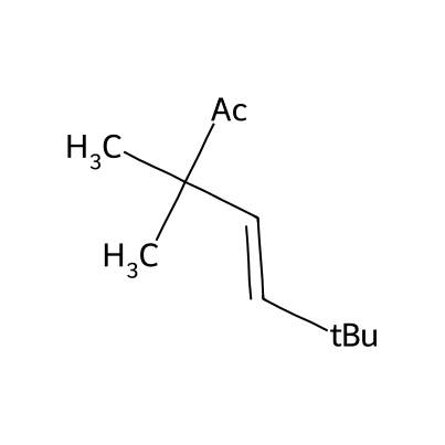 CC(=O)C(C)(C)/C=C/C(C)(C)C